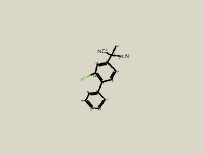 CC(C#N)(C#N)c1ccc(-c2ccccc2)c(F)c1